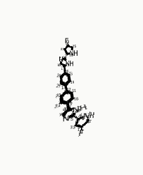 F[C@@H]1CN[C@H](c2ncc(-c3ccc(-c4ccc(-c5cnc([C@@H]6C[C@H](F)CN6)[nH]5)cc4)cc3)[nH]2)C1